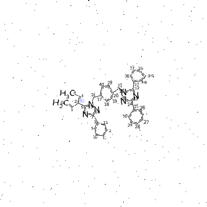 C=C/C(=C\C)c1nc(-c2ccccc2)nn1Cc1ccc(Cn2nc(-c3ccccc3)nc2-c2ccccc2)cc1